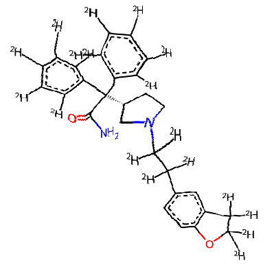 [2H]c1c([2H])c([2H])c(C(C(N)=O)(c2c([2H])c([2H])c([2H])c([2H])c2[2H])[C@@H]2CCN(C([2H])([2H])C([2H])([2H])c3ccc4c(c3)C([2H])([2H])C([2H])([2H])O4)C2)c([2H])c1[2H]